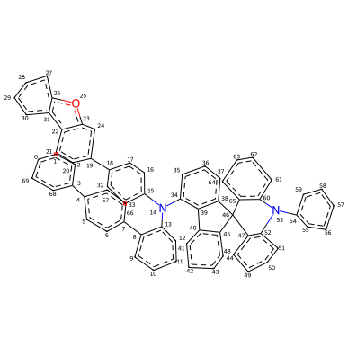 c1ccc(-c2ccc(-c3ccccc3N(c3ccc(-c4ccc5c(c4)oc4ccccc45)cc3)c3cccc4c3-c3ccccc3C43c4ccccc4N(c4ccccc4)c4ccccc43)cc2)cc1